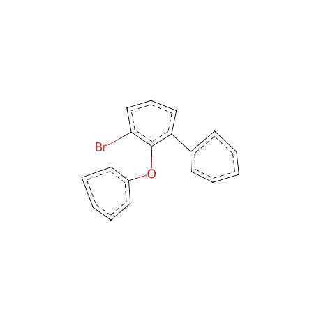 Brc1cccc(-c2ccccc2)c1Oc1ccccc1